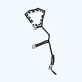 CN=CC(=O)Cc1cccs1